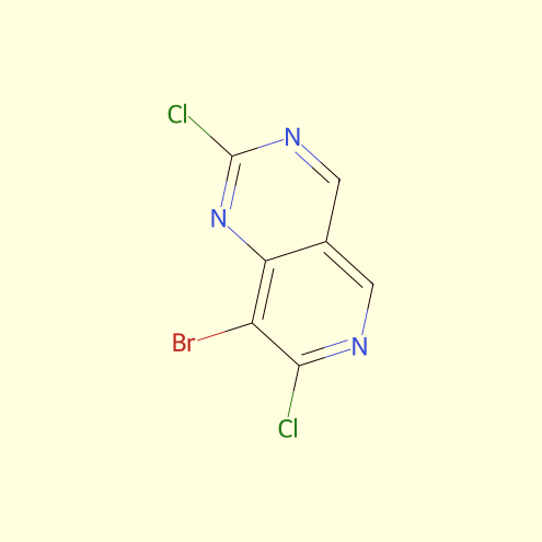 Clc1ncc2cnc(Cl)c(Br)c2n1